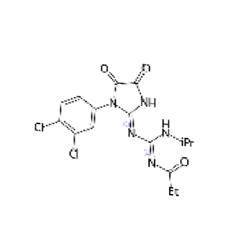 CCC(=O)/N=C(/N=C1\NC(=O)C(=O)N1c1ccc(Cl)c(Cl)c1)NC(C)C